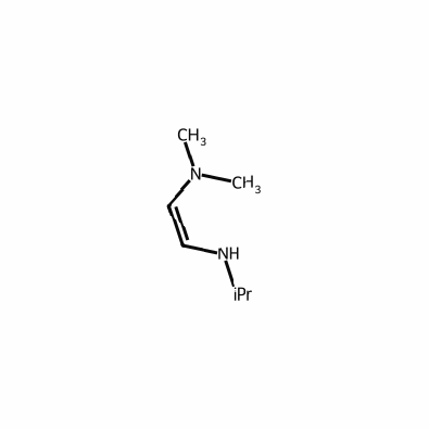 CC(C)N/C=C\N(C)C